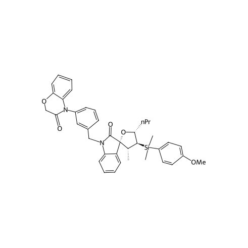 CCC[C@H]1O[C@]2(C(=O)N(Cc3cccc(N4C(=O)COc5ccccc54)c3)c3ccccc32)[C@@H](C)[C@@H]1[Si](C)(C)c1ccc(OC)cc1